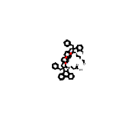 C\C(=C/C=C/C=C1\N(CCOC=O)c2c(F)cccc2C1(Cc1ccccc1)Cc1ccccc1)C1=[N+](CCC(=O)O)c2c(c3ccccc3c3ccccc23)C1(Cc1ccccc1)Cc1ccccc1